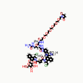 CC(C)[C@H](NC(=O)CCOCCOCCOCCOCCOCCOCCN1C(=O)C=CC1=O)C(=O)N[C@@H](CCCNC(N)=O)C(=O)Nc1ccc(C[C@@](CN(C)C(=O)O)(c2cc3c(c4ccccc24)C(CCl)CN3C(=O)c2ccc(C(=O)N3C[C@@H](CCl)c4c3cc(O[C@@H]3O[C@H](CO)[C@H](O)[C@H](O)[C@H]3O)c3ccccc43)s2)N(C)C(=O)O)cc1